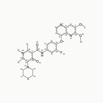 COc1cc2nccc(Oc3ccc(NC(=O)c4c(C)n(C)c(C)c(N5CCCCC5)c4=O)cc3F)c2nc1OC